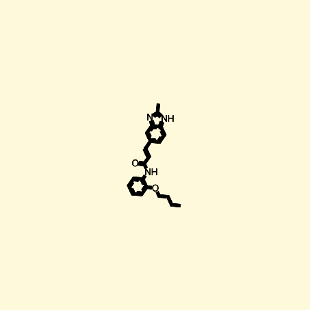 CCCCOc1ccccc1NC(=O)/C=C/c1ccc2[nH]c(C)nc2c1